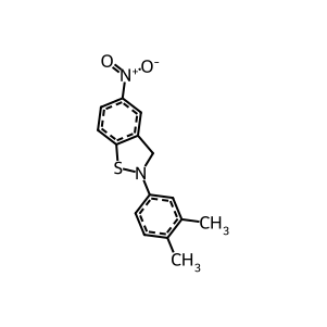 Cc1ccc(N2Cc3cc([N+](=O)[O-])ccc3S2)cc1C